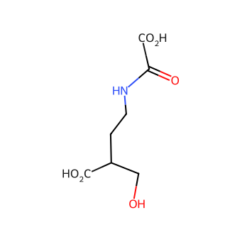 O=C(O)C(=O)NCCC(CO)C(=O)O